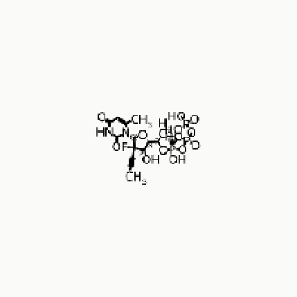 CC#CC1(F)[C@@H](O)[C@@H]([C@@H](C)OP(=O)(O)OP(=O)(O)OP(=O)(O)O)O[C@H]1n1c(C)cc(=O)[nH]c1=O